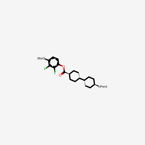 CCCCC[C@H]1CC[C@H]([C@H]2CC[C@H](C(=O)Oc3ccc(OC)c(F)c3F)CC2)CC1